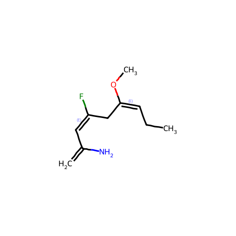 C=C(N)/C=C(/F)C/C(=C\CC)OC